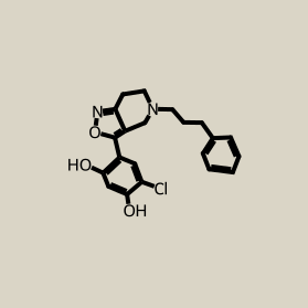 Oc1cc(O)c(-c2onc3c2CN(CCCc2ccccc2)CC3)cc1Cl